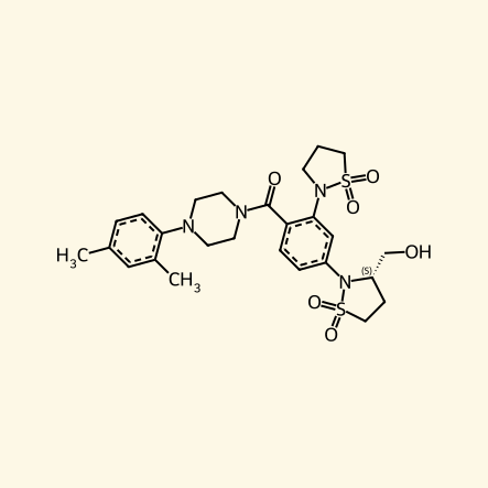 Cc1ccc(N2CCN(C(=O)c3ccc(N4[C@H](CO)CCS4(=O)=O)cc3N3CCCS3(=O)=O)CC2)c(C)c1